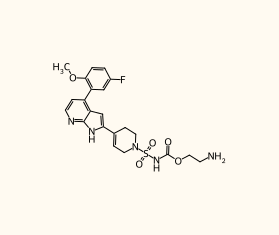 COc1ccc(F)cc1-c1ccnc2[nH]c(C3=CCN(S(=O)(=O)NC(=O)OCCN)CC3)cc12